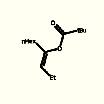 CCC=C(CCCCCC)OC(=O)C(C)(C)C